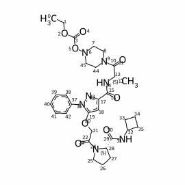 CCOC(=O)ON1CCN(C(=O)[C@H](C)NC(=O)c2cc(OCC(=O)N3CCC[C@H]3C(=O)NC3CCC3)n(-c3ccccc3)n2)CC1